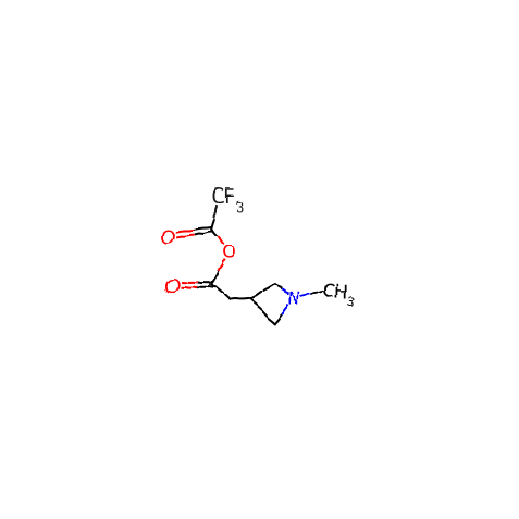 CN1CC(CC(=O)OC(=O)C(F)(F)F)C1